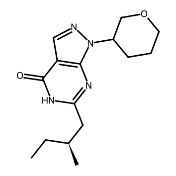 CC[C@H](C)Cc1nc2c(cnn2C2CCCOC2)c(=O)[nH]1